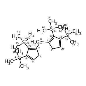 C[Si](C)(C)C1=CC[C]([GeH2][C]2=C([Si](C)(C)C)C([Si](C)(C)C)=CC2)=C1[Si](C)(C)C